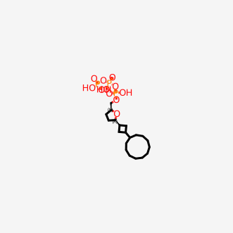 O=P(O)(O)OP(=O)(O)OP(=O)(O)OC[C@@H]1CC[C@H](C2CC(C3CCCCCCCCCC3)C2)O1